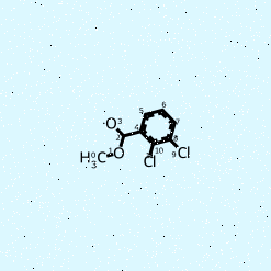 COC([O])c1cccc(Cl)c1Cl